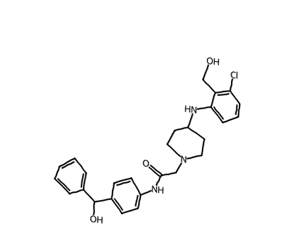 O=C(CN1CCC(Nc2cccc(Cl)c2CO)CC1)Nc1ccc(C(O)c2ccccc2)cc1